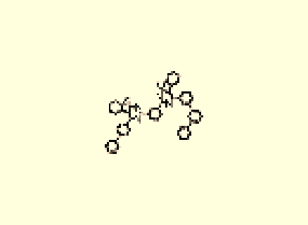 c1ccc(-c2ccc(-c3nc(-c4cccc(-c5nc(-c6cccc(-c7cccc(-c8ccccc8)c7)c6)c6c(n5)oc5ccccc56)c4)nc4sc5ccccc5c34)cc2)cc1